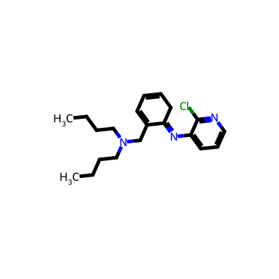 CCCCN(CCCC)CC1=CC=CCC1=Nc1cccnc1Cl